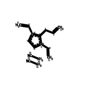 C=CCc1n(C=C)cc[n+]1C=C.N#CN.N#CN